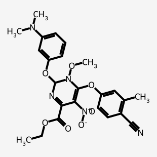 CCOC(=O)C1=NC(Oc2cccc(N(C)C)c2)N(OC)C(Oc2ccc(C#N)c(C)c2)=C1[N+](=O)[O-]